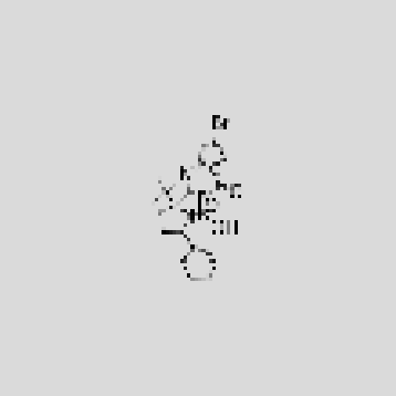 CC(C)(C)[C@]1(c2nc3cc(Br)sc3c(=O)[nH]2)CC[C@H](c2ccccc2)N1C(=O)O